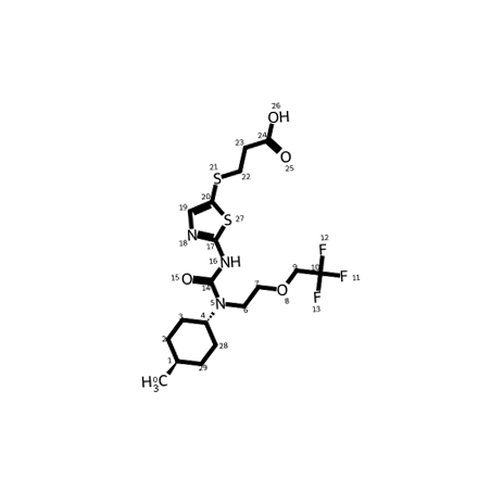 C[C@H]1CC[C@H](N(CCOCC(F)(F)F)C(=O)Nc2ncc(SCCC(=O)O)s2)CC1